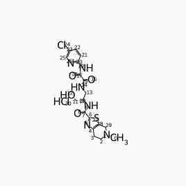 CN1CCc2nc(C(=O)N[C@H](CO)CNC(=O)C(=O)Nc3ccc(Cl)cn3)sc2C1.Cl